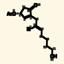 CC(=O)O[C@H]1C=C(C/C(Br)=C/CCCCO)C(=O)C1